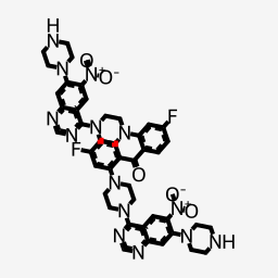 O=C(c1ccc(F)cc1N1CCN(c2ncnc3cc(N4CCNCC4)c([N+](=O)[O-])cc23)CC1)c1ccc(F)cc1N1CCN(c2ncnc3cc(N4CCNCC4)c([N+](=O)[O-])cc23)CC1